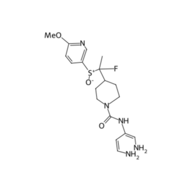 COc1ccc([S+]([O-])C(C)(F)C2CCN(C(=O)NC(/C=C\N)=C/N)CC2)cn1